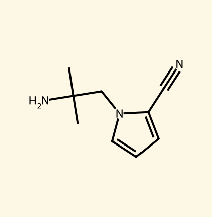 CC(C)(N)Cn1cccc1C#N